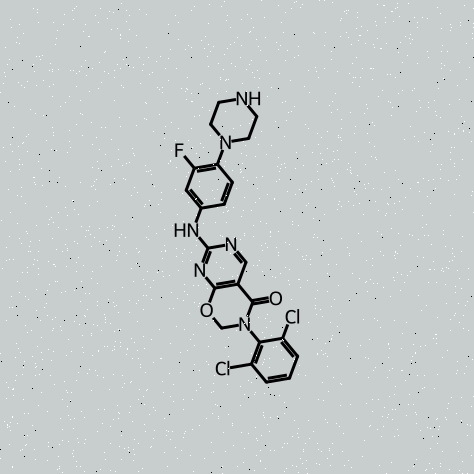 O=C1c2cnc(Nc3ccc(N4CCNCC4)c(F)c3)nc2OCN1c1c(Cl)cccc1Cl